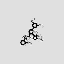 CCOc1cc(C)cc(-c2ccc(C(=O)NS(=O)(=O)c3cccnc3N)c(N3CCC(C)C3(C)C)n2)c1